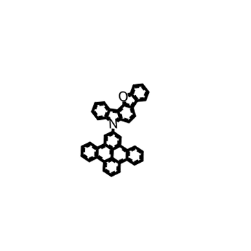 c1ccc2c(c1)oc1c2ccc2c1c1ccccc1n2-c1cc2c3ccccc3c3cccc4c5ccccc5c(c1)c2c34